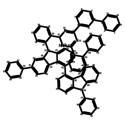 c1ccc(-c2cccc(C3=NC(c4ccccc4-n4c5cc(-c6ccccc6)ccc5c5c(-c6cccc7c6c6ccccc6n7-c6ccccc6)cccc54)NC(c4ccccc4-c4ccccc4)=N3)c2)cc1